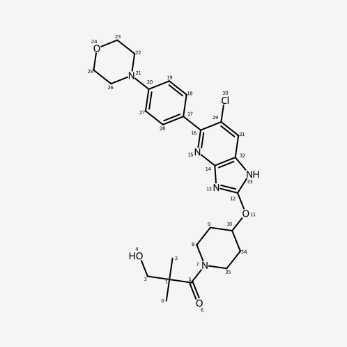 CC(C)(CO)C(=O)N1CCC(Oc2nc3nc(-c4ccc(N5CCOCC5)cc4)c(Cl)cc3[nH]2)CC1